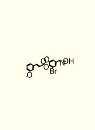 COc1cccc(/C=C/C(=O)Oc2c(Br)cc(/C=N/O)cc2OC)c1